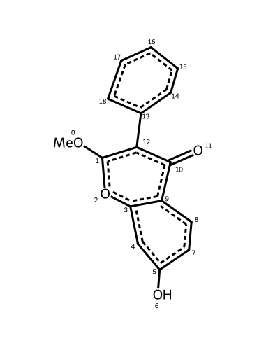 COc1oc2cc(O)ccc2c(=O)c1-c1ccccc1